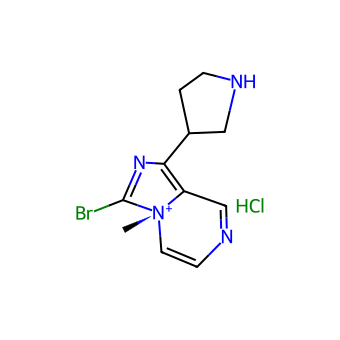 C[N@+]12C=CN=CC1=C(C1CCNC1)N=C2Br.Cl